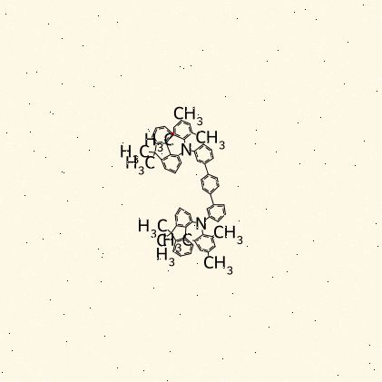 Cc1cc(C)c(N(c2cccc(-c3ccc(-c4cccc(N(c5cccc6c5-c5ccccc5C6(C)C)c5c(C)cc(C)cc5C)c4)cc3)c2)c2cccc3c2-c2ccccc2C3(C)C)c(C)c1